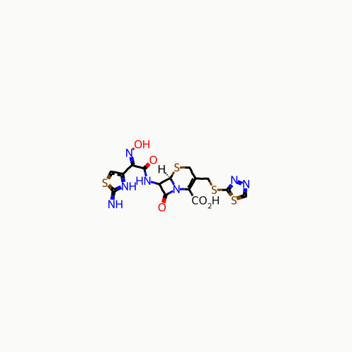 N=c1[nH]c(/C(=N/O)C(=O)NC2C(=O)N3C(C(=O)O)=C(CSc4nncs4)CS[C@H]23)cs1